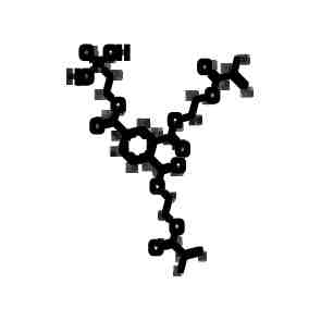 C=C(C)C(=O)OCCOC(=O)c1ccc(C(=O)OCCP(=O)(O)O)cc1C(=O)OCCOC(=O)C(=C)C